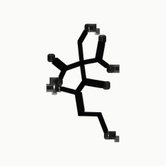 CCC=C(C)C(=O)C(CC)(C(=O)O)C(=O)O